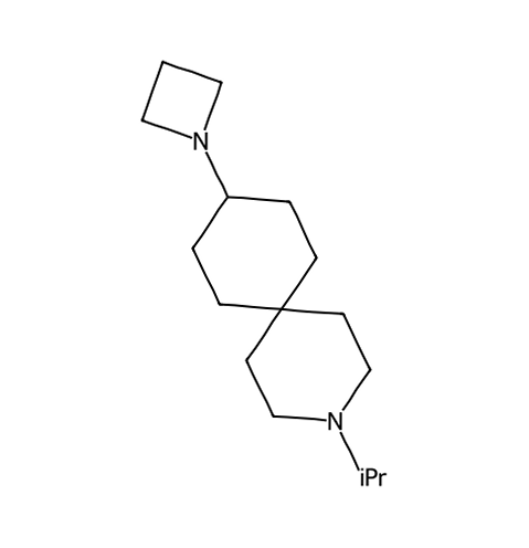 CC(C)N1CCC2(CCC(N3CCC3)CC2)CC1